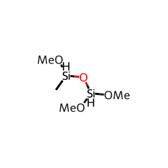 CO[SiH](C)O[SiH](OC)OC